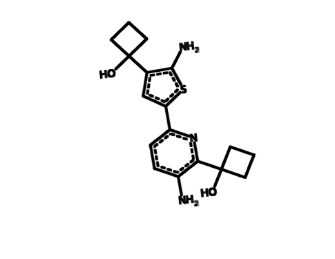 Nc1ccc(-c2cc(C3(O)CCC3)c(N)s2)nc1C1(O)CCC1